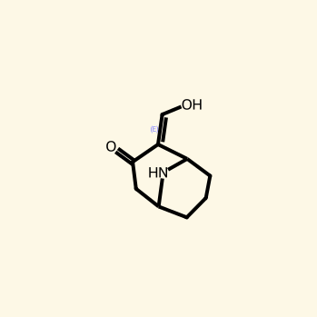 O=C1CC2CCCC(N2)/C1=C\O